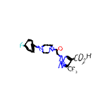 O=C(O)c1cn(CC(=O)N2CCN(c3ccc(F)cc3)CC2)nc1C(F)(F)F